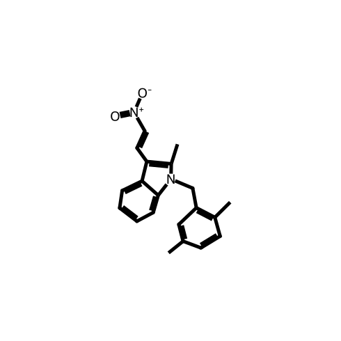 Cc1ccc(C)c(Cn2c(C)c(/C=C/[N+](=O)[O-])c3ccccc32)c1